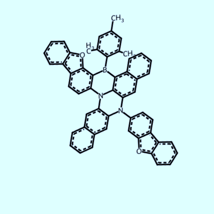 Cc1cc(C)c(B2c3c4c(cc5ccccc35)N(c3ccc5c(c3)oc3ccccc35)c3cc5ccccc5cc3N4c3ccc4c(oc5ccccc54)c32)c(C)c1